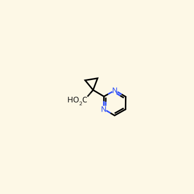 O=C(O)C1(c2ncccn2)CC1